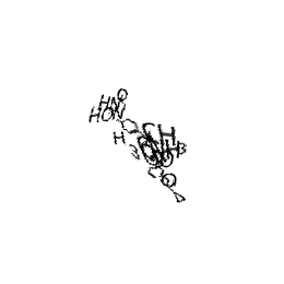 CC(C)(NS(=O)(=O)c1cccc(OCC2CC2)c1)c1ccc(CN2C=CC(=O)NC2O)cc1